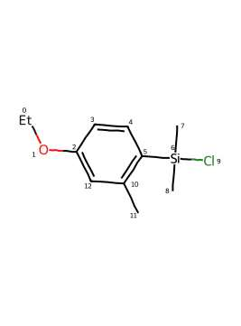 CCOc1ccc([Si](C)(C)Cl)c(C)c1